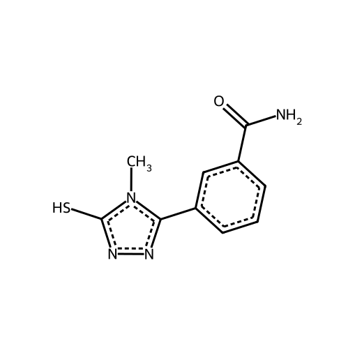 Cn1c(S)nnc1-c1cccc(C(N)=O)c1